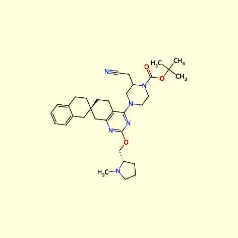 CN1CCC[C@H]1COc1nc2c(c(N3CCN(C(=O)OC(C)(C)C)C(CC#N)C3)n1)CC[C@@]1(CCc3ccccc3C1)C2